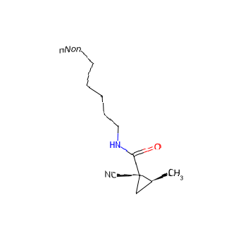 CCCCCCCCCCCCCCNC(=O)[C@@]1(C#N)C[C@@H]1C